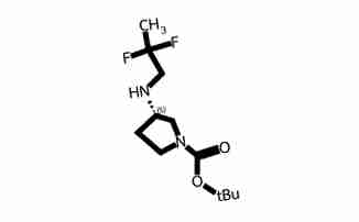 CC(F)(F)CN[C@H]1CCN(C(=O)OC(C)(C)C)C1